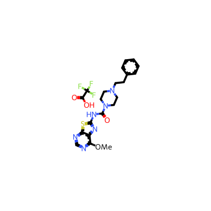 COc1ncnc2sc(NC(=O)N3CCN(CCc4ccccc4)CC3)nc12.O=C(O)C(F)(F)F